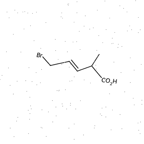 CC(/C=C/CBr)C(=O)O